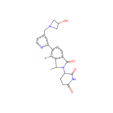 CC1c2c(ccc(-c3cc(CN4CC(O)C4)ccn3)c2F)C(=O)N1C1CCC(=O)NC1=O